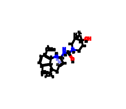 CCCCc1ccc(OC)c2c1C(C)C/C=C/C(NC(=O)N1CCC(C)(O)CC1)=N\2